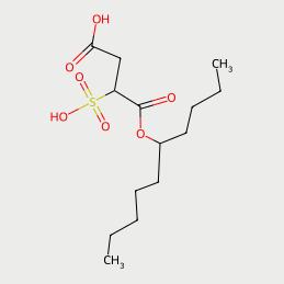 CCCCCC(CCCC)OC(=O)C(CC(=O)O)S(=O)(=O)O